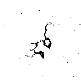 CNCCCc1ccccc1O[C@H](C)CN[C@H](C(=O)O)C1CC1